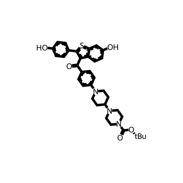 CC(C)(C)OC(=O)N1CCN(C2CCN(c3ccc(C(=O)c4c(-c5ccc(O)cc5)sc5cc(O)ccc45)cc3)CC2)CC1